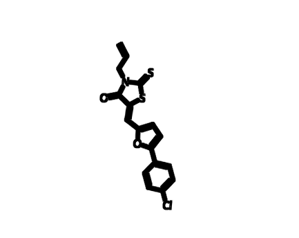 C=CCN1C(=O)C(=Cc2ccc(-c3ccc(Cl)cc3)o2)SC1=S